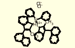 CC1=C(c2cccc3ccccc23)c2ccccc2[CH]1[Hf+2]([CH]1C(C)=C(c2cccc3ccccc23)c2ccccc21)=[Si](c1ccccc1)c1ccccc1.[Cl-].[Cl-]